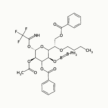 CCCCO[C@@H](COC(=O)c1ccccc1)C1O[C@@H](OC(=N)C(F)(F)F)[C@H](OC(C)=O)C(OC(=O)c2ccccc2)[C@@H]1OB=BP